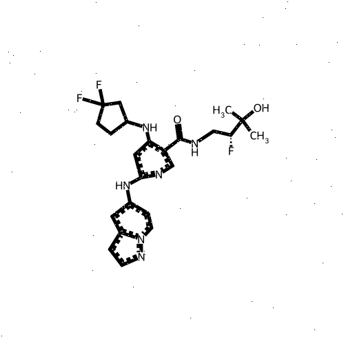 CC(C)(O)[C@H](F)CNC(=O)c1cnc(Nc2ccn3nccc3c2)cc1NC1CCC(F)(F)C1